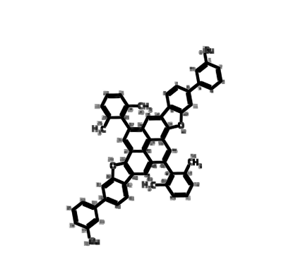 CCC(C)c1cccc(-c2ccc3c(c2)oc2c3cc3c(-c4c(C)cccc4C)cc4c5oc6cc(-c7cccc(C(C)CC)c7)ccc6c5cc5c(-c6c(C)cccc6C)cc2c3c54)c1